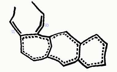 C/C=c1/ccc2cc3ccccc3cc2/c1=C/C